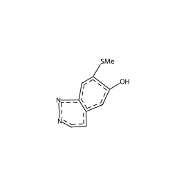 CSc1cc2nnccc2cc1O